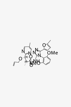 C=CCO[C@H](c1ncc(C)cn1)[C@@H](C)S(=O)(=O)Nc1nnc(-c2ccc(C)o2)n1-c1c(OC)cccc1OC